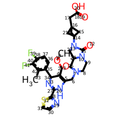 COC(=O)C1=C(CN2CCN3C(=O)N(C45CC(CC(=O)O)(C4)C5)CC3C2)NC(c2nccs2)=NC1c1ccc(F)c(F)c1C